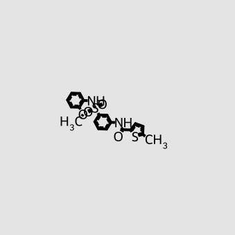 COc1ccccc1NS(=O)(=O)c1cccc(NC(=O)c2ccc(C)s2)c1